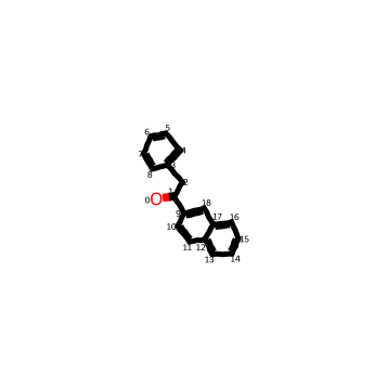 O=C(Cc1ccccc1)c1ccc2ccccc2c1